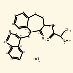 CNC(C)C(=O)NC1CCc2ccccc2N(Cc2cnnc3ccccc23)C1=O.Cl